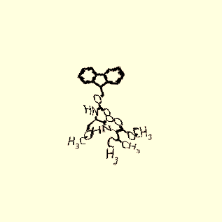 COC[C@@H](NC(=O)OCC1c2ccccc2-c2ccccc21)C(=O)N[C@H](C(=O)OC)C(C)C